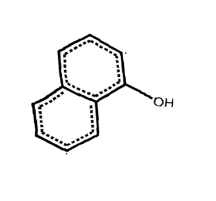 Oc1[c]ccc2cc[c]cc12